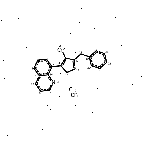 [Cl-].[Cl-].[Cr+2][C]1=C(c2cccc3cccnc23)CC=C1Cc1ccccc1